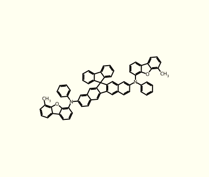 Cc1cccc2c1oc1c(N(c3ccccc3)c3ccc4cc5c(cc4c3)C3(c4ccccc4-c4ccccc43)c3cc4cc(N(c6ccccc6)c6cccc7c6oc6c(C)cccc67)ccc4cc3-5)cccc12